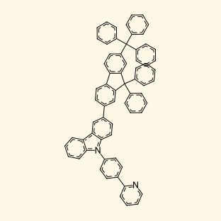 c1ccc(C(c2ccccc2)(c2ccccc2)c2ccc3c(c2)C(c2ccccc2)(c2ccccc2)c2cc(-c4ccc5c(c4)c4ccccc4n5-c4ccc(-c5ccccn5)cc4)ccc2-3)cc1